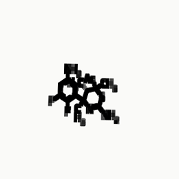 CC(=O)[C@@]1(C)SC(N)=N[C@](C)(c2cc(N)cc(F)c2F)[C@@H]1C